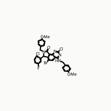 COc1ccc(CNc2nc(Cl)nc3c4c(c(Br)cc23)C(c2cc(F)ccc2Cl)N(Cc2ccc(OC)cc2)C4=O)cc1